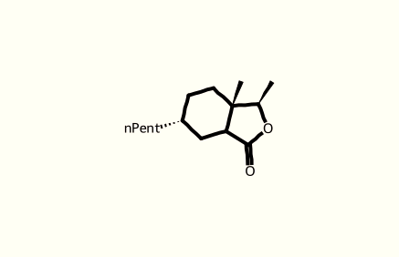 CCCCC[C@@H]1CC[C@@]2(C)C(C1)C(=O)O[C@@H]2C